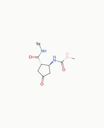 [2H]NC(=O)[C@H]1CC(=O)C[C@@H]1NC(=O)BC